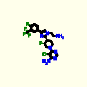 NCCn1cc(-c2ccc(F)c(C(F)(F)F)c2)nc1[C@@H]1CCN(c2ncnc(N)c2Cl)C[C@@H]1F